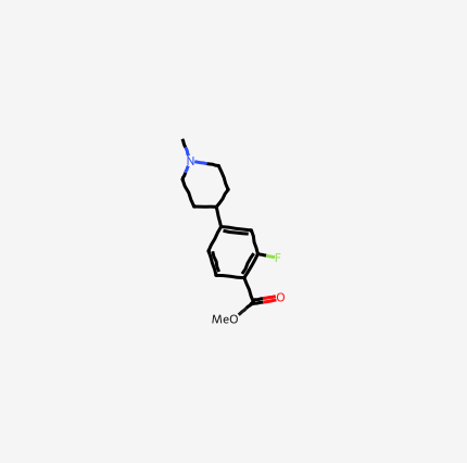 COC(=O)c1ccc(C2CCN(C)CC2)cc1F